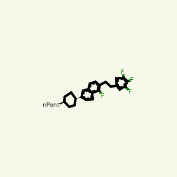 CCCCC[C@H]1CC[C@H](c2ccc3c(F)c(CCc4cc(F)c(F)c(F)c4)ccc3c2)CC1